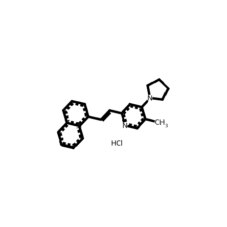 Cc1cnc(C=Cc2cccc3ccccc23)cc1N1CCCC1.Cl